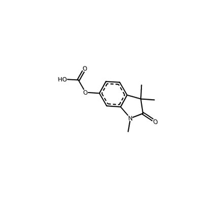 CN1C(=O)C(C)(C)c2ccc(OC(=O)O)cc21